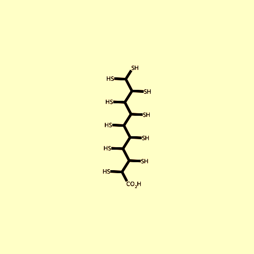 O=C(O)C(S)C(S)C(S)C(S)C(S)C(S)C(S)C(S)C(S)S